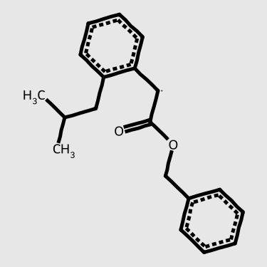 CC(C)Cc1ccccc1[CH]C(=O)OCc1ccccc1